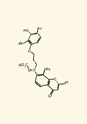 CCCc1cc(=O)c2ccc(OCCCOc3ccc(C(C)=O)c(O)c3CCC)c(CCC)c2o1.O=C(O)O